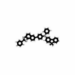 CC1(C)c2ccccc2-c2cc(N(c3ccccc3)c3ccc(-c4ccc5c(ccc6nc(-c7ccccc7)oc65)c4)cc3)ccc21